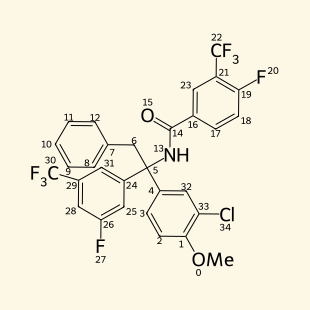 COc1ccc(C(Cc2ccccc2)(NC(=O)c2ccc(F)c(C(F)(F)F)c2)c2cc(F)cc(C(F)(F)F)c2)cc1Cl